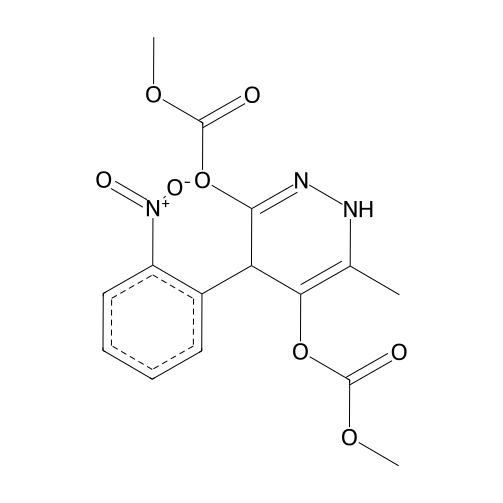 COC(=O)OC1=NNC(C)=C(OC(=O)OC)C1c1ccccc1[N+](=O)[O-]